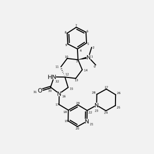 CN(C)[C@]1(c2ccccc2)CC[C@]2(CC1)CN(Cc1ccnc(N3CCCCC3)c1)C(=O)N2